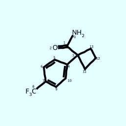 NC(=O)C1(c2ccc(C(F)(F)F)cc2)CCC1